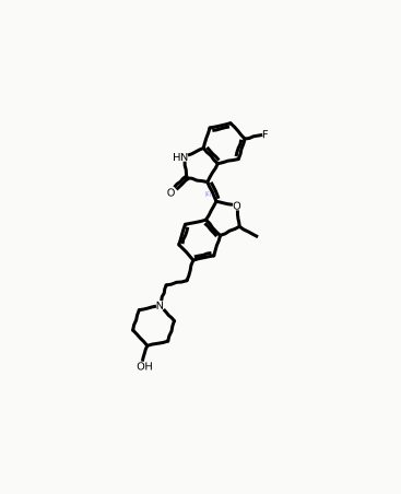 CC1O/C(=C2/C(=O)Nc3ccc(F)cc32)c2ccc(CCN3CCC(O)CC3)cc21